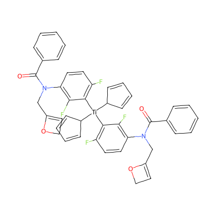 O=C(c1ccccc1)N(CC1=CCO1)c1ccc(F)[c]([Ti]([c]2c(F)ccc(N(CC3=CCO3)C(=O)c3ccccc3)c2F)([CH]2C=CC=C2)[CH]2C=CC=C2)c1F